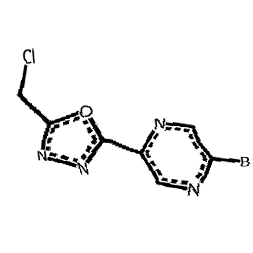 ClCc1nnc(-c2cnc(Br)cn2)o1